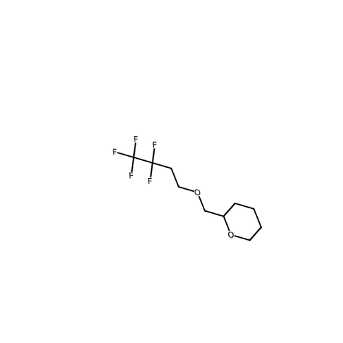 FC(F)(F)C(F)(F)CCOCC1CCCCO1